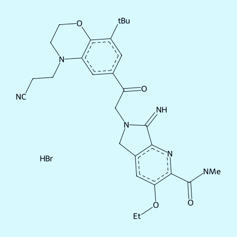 Br.CCOc1cc2c(nc1C(=O)NC)C(=N)N(CC(=O)c1cc3c(c(C(C)(C)C)c1)OCCN3CCC#N)C2